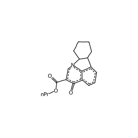 CCCOC(=O)c1cn2c3c(cccc3c1=O)C1CCCCC12